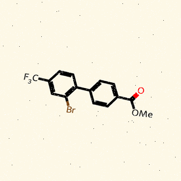 COC(=O)c1ccc(-c2ccc(C(F)(F)F)cc2Br)cc1